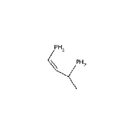 CC(P)/C=C\P